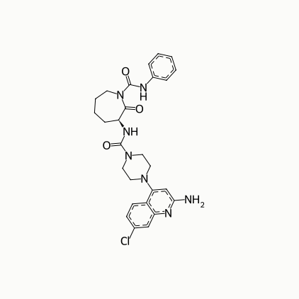 Nc1cc(N2CCN(C(=O)N[C@H]3CCCCN(C(=O)Nc4ccccc4)C3=O)CC2)c2ccc(Cl)cc2n1